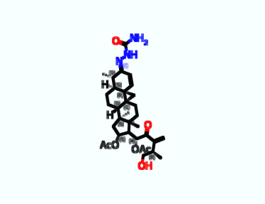 C=C(C(=O)[C@H](OC(C)=O)C1[C@@H](OC(C)=O)C[C@@]2(C)[C@@H]3CC[C@H]4[C@H](C)/C(=N/NC(N)=O)C=C[C@@]45C[C@@]35CC[C@]12C)[C@@H](C)CO